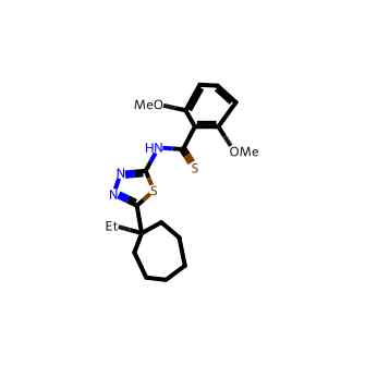 CCC1(c2nnc(NC(=S)c3c(OC)cccc3OC)s2)CCCCCC1